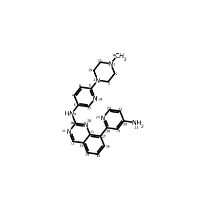 CN1CCN(c2ccc(Nc3ncc4cccc(-c5cc(N)ccn5)c4n3)cn2)CC1